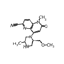 COC[C@H]1CNC(C)CN1c1cc(=O)n(C)c2ccc(C#N)nc12